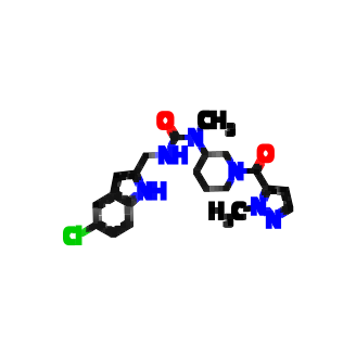 CN(C(=O)NCc1cc2cc(Cl)ccc2[nH]1)C1CCCN(C(=O)c2ccnn2C)C1